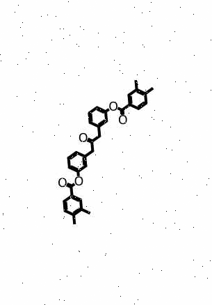 Cc1ccc(C(=O)Oc2cccc(CC(=O)Cc3cccc(OC(=O)c4ccc(C)c(C)c4)c3)c2)cc1C